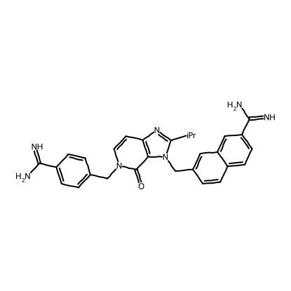 CC(C)c1nc2ccn(Cc3ccc(C(=N)N)cc3)c(=O)c2n1Cc1ccc2ccc(C(=N)N)cc2c1